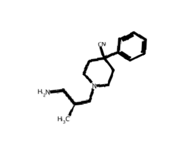 C[C@@H](CN)CN1CCC(C#N)(c2ccccc2)CC1